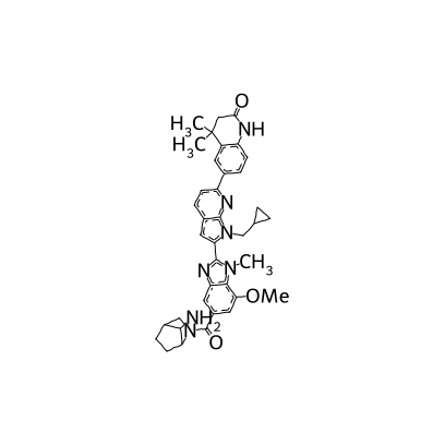 COc1cc(C(=O)N2CC3CCC2C3N)cc2nc(-c3cc4ccc(-c5ccc6c(c5)C(C)(C)CC(=O)N6)nc4n3CC3CC3)n(C)c12